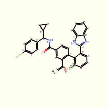 C=C(O)c1cc(C(=O)NC(c2ccc(F)cc2)C2CC2)ccc1-c1c(Cl)cccc1-c1nc2ccccc2[nH]1